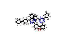 c1ccc(-c2ccc(-c3nc(-c4ccc5oc6cccc(-c7nc(-c8ccccc8)nc(-c8ccccc8)n7)c6c5c4)nc4ccccc34)cc2)cc1